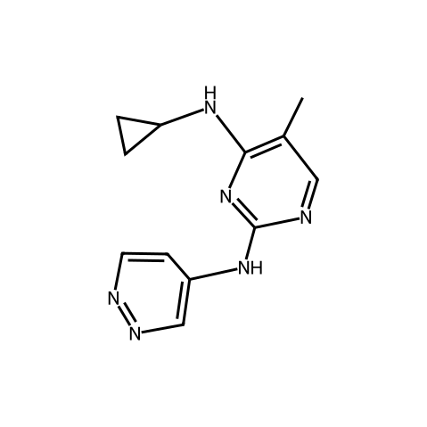 Cc1cnc(Nc2ccnnc2)nc1NC1CC1